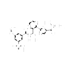 C[C@H](NC(=O)c1cc(OC(F)(F)F)cc(S(C)(=O)=O)c1)c1nccnc1-c1ncc(C(=O)N(C)C)s1